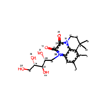 Cc1cc2c3c(c1C)C(C)(C)CCn3c(=O)c(=O)n2C[C@@H](O)[C@@H](O)[C@@H](O)CO